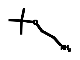 CC(C)(C)OCCN